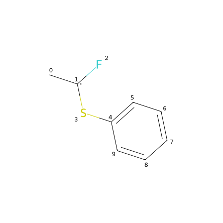 C[C](F)Sc1ccccc1